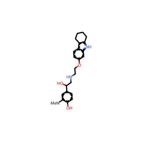 CNc1cc(C(O)CNCCOc2ccc3c4c([nH]c3c2)CCCC4)ccc1O